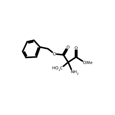 COC(=O)C(N)(C(=O)O)C(=O)OCc1ccccc1